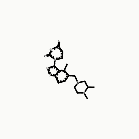 Cc1c(CN2CCN(C)C(C)C2)ccc2onc(-n3ccc(=O)[nH]c3=O)c12